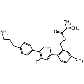 C=C(C)C(=O)OCc1cc(C)ccc1-c1ccc(-c2ccc(CCCN)cc2)c(F)c1